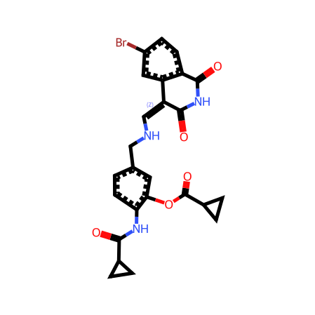 O=C1NC(=O)c2ccc(Br)cc2/C1=C/NCc1ccc(NC(=O)C2CC2)c(OC(=O)C2CC2)c1